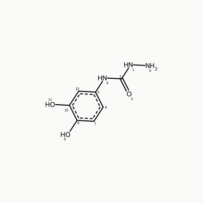 NNC(=O)Nc1ccc(O)c(O)c1